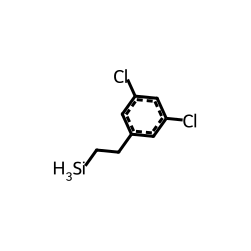 [SiH3]CCc1cc(Cl)cc(Cl)c1